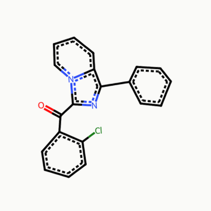 O=C(c1ccccc1Cl)c1nc(-c2ccccc2)c2ccccn12